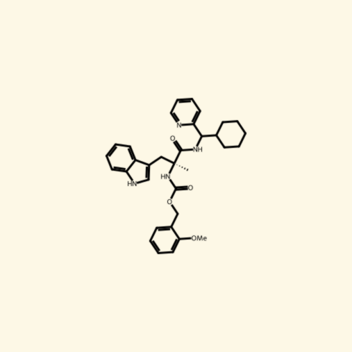 COc1ccccc1COC(=O)N[C@@](C)(Cc1c[nH]c2ccccc12)C(=O)NC(c1ccccn1)C1CCCCC1